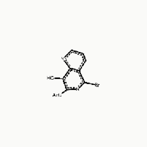 CC(=O)Oc1nc(Br)c2cccnc2c1O